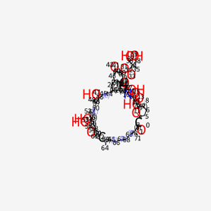 CO[C@H]1CC2CC[C@@H](C)[C@@](O)(O2)C(=O)C(=O)N2CCCC([C@H]2C(=O)O)[C@H](C[C@@H]2CC[C@@H](OC(=O)C(C)(CO)CO)[C@H](OC)C2)/C=C/C(O)[C@H](C)/C=C(\C)[C@@H](O)[C@@H](CO)C(=O)[C@H](C)C[C@H](C)/C=C/C=C/C=C/1C